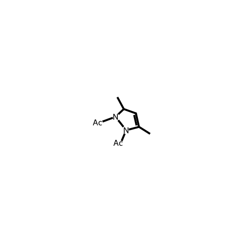 CC(=O)N1C(C)=CC(C)N1C(C)=O